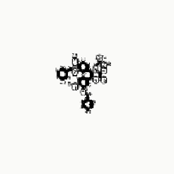 COc1ccc(-c2oc(=O)c(=O)n(CC(OC)OC)c2-c2ccc(OC)c(OCc3ccccc3)c2)cc1OCc1ccccc1